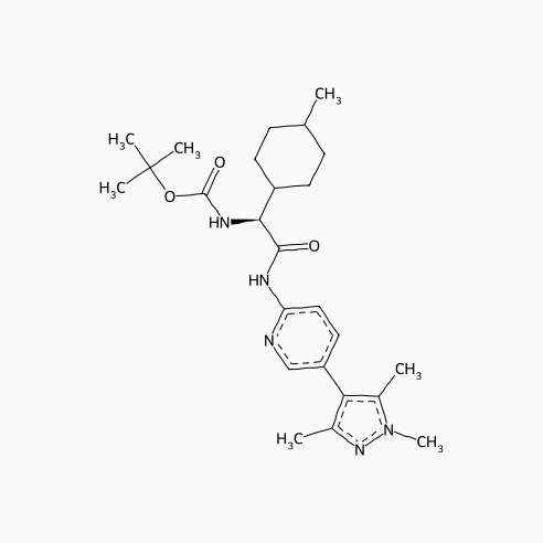 Cc1nn(C)c(C)c1-c1ccc(NC(=O)[C@@H](NC(=O)OC(C)(C)C)C2CCC(C)CC2)nc1